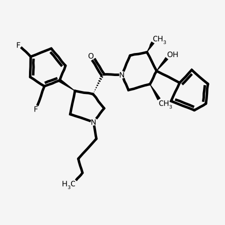 CCCCN1C[C@@H](C(=O)N2C[C@@H](C)[C@](O)(c3ccccc3)[C@@H](C)C2)[C@H](c2ccc(F)cc2F)C1